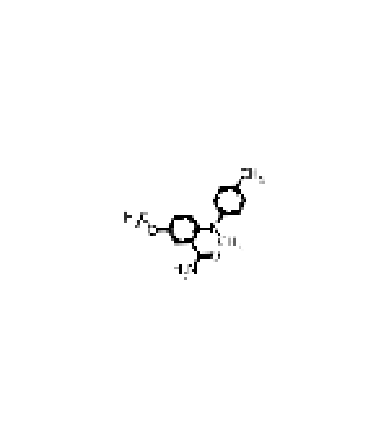 COc1ccc(N(C)c2ccc(C)cc2)c(C(N)=O)c1